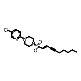 CCCCCC#CC=CS(=O)(=O)N1CCN(c2ccc(Cl)cn2)CC1